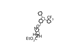 CCOC(=O)[C@H]1[C@@H]2Cc3cc(OCc4ccc5c(c4)C(c4ccccc4C(F)(F)F)CC5c4ccccc4)ncc3[C@@H]21